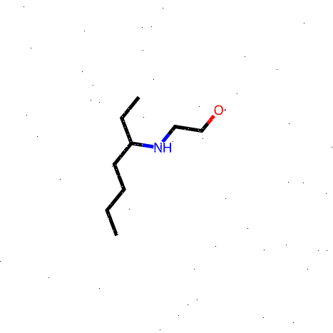 CCCCC(CC)NCC[O]